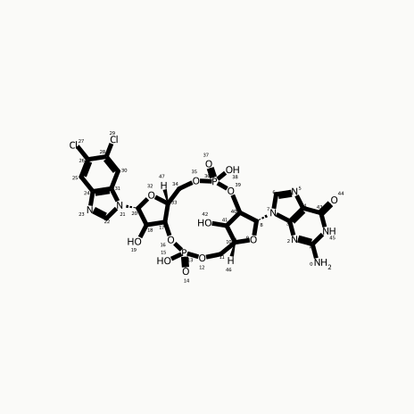 Nc1nc2c(ncn2[C@@H]2O[C@@H]3COP(=O)(O)OC4C(O)[C@H](n5cnc6cc(Cl)c(Cl)cc65)O[C@@H]4COP(=O)(O)OC2C3O)c(=O)[nH]1